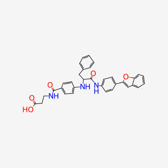 O=C(O)CCNC(=O)c1ccc(NC(Cc2ccccc2)C(=O)Nc2ccc(-c3cc4ccccc4o3)cc2)cc1